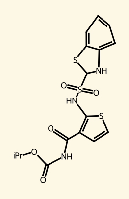 CC(C)OC(=O)NC(=O)c1ccsc1NS(=O)(=O)C1Nc2ccccc2S1